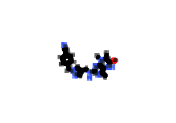 Cc1nc(NCc2cnn(Cc3ccc(C#N)cc3)c2)nc2c1NC(=O)C(C)N2C